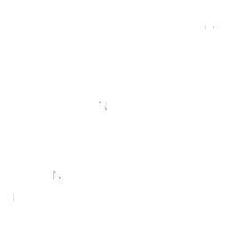 CN1CCCN(CCC[O])CC1